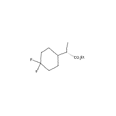 CCOC(=O)[C@@H](C)C1CCC(F)(F)CC1